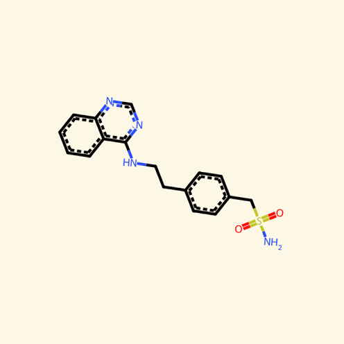 NS(=O)(=O)Cc1ccc(CCNc2ncnc3ccccc23)cc1